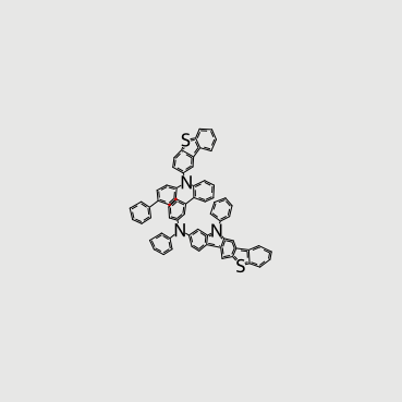 c1ccc(-c2ccc(N(c3ccc4sc5ccccc5c4c3)c3ccccc3-c3cccc(N(c4ccccc4)c4ccc5c6cc7sc8ccccc8c7cc6n(-c6ccccc6)c5c4)c3)cc2)cc1